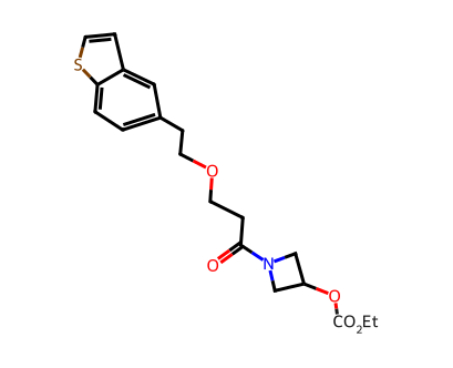 CCOC(=O)OC1CN(C(=O)CCOCCc2ccc3sccc3c2)C1